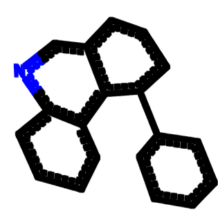 [c]1cccc(-c2cccc3cnc4ccccc4c23)c1